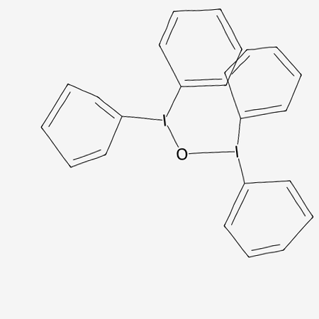 c1ccc(I(OI(c2ccccc2)c2ccccc2)c2ccccc2)cc1